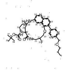 CCCOCc1ncc(-c2ccc3ncc4cc3c2OCC(F)CNC(=O)[C@@H]2C[C@H](CCN2C(=O)OC(C)(C)C)N4)cn1